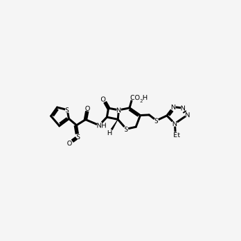 CCn1nnnc1SCC1=C(C(=O)O)N2C(=O)C(NC(=O)C(=S=O)c3cccs3)[C@H]2SC1